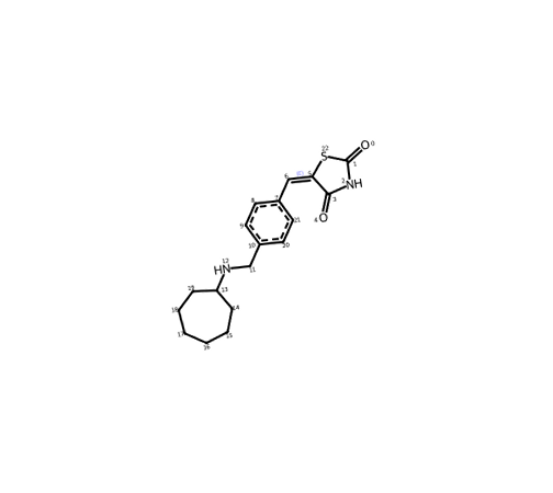 O=C1NC(=O)/C(=C\c2ccc(CNC3CCCCCC3)cc2)S1